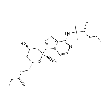 CCOC(=O)C(C)(C)Nc1ncnn2c([C@@]3(C#N)C[C@H](O)C[C@@H](COC(=O)CC)O3)ccc12